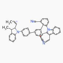 C/C=C\C1C(C)c2ccccc2N1c1ccc(-c2cc(C#N)cc(-c3c(C#N)cccc3-n3c4c(c5ccccc53)C=CCC=C4)c2)cc1